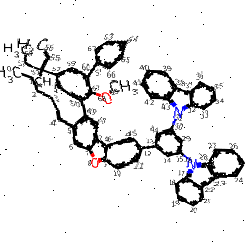 CCCCCc1cc2oc3ccc(-c4cc(-n5c6ccccc6c6ccccc65)cc(-n5c6ccccc6c6ccccc65)c4)cc3c2cc1-c1cc(C(C)(CC)CC)cc(-c2ccccc2)c1OC